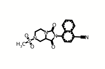 CS(=O)(=O)N1CCN2C(=O)N(c3ccc(C#N)c4ccccc34)C(=O)C2C1